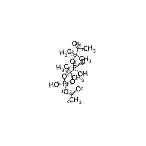 CC(=O)OP(=O)(O)OC(C)(C)P(=O)(O)OC(C)(C)C(C)=O